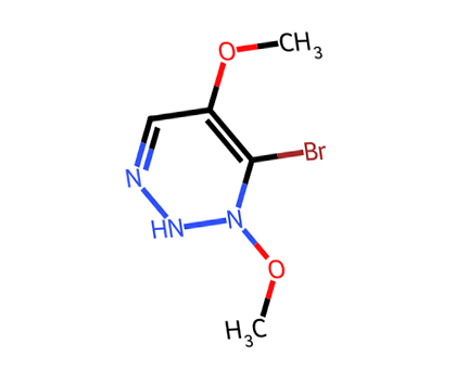 COC1=C(Br)N(OC)NN=C1